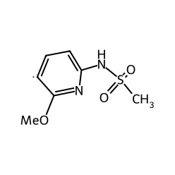 COc1[c]ccc(NS(C)(=O)=O)n1